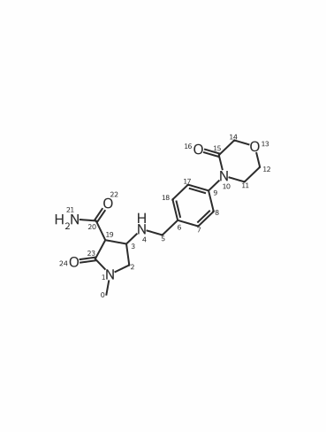 CN1CC(NCc2ccc(N3CCOCC3=O)cc2)C(C(N)=O)C1=O